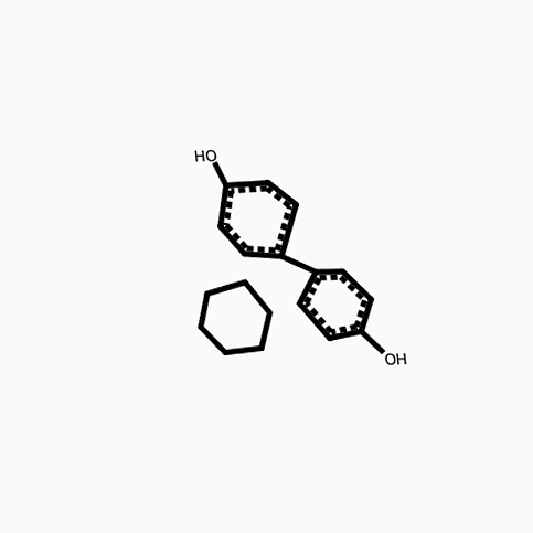 C1CCCCC1.Oc1ccc(-c2ccc(O)cc2)cc1